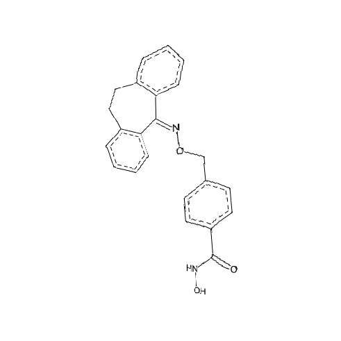 O=C(NO)c1ccc(CON=C2c3ccccc3CCc3ccccc32)cc1